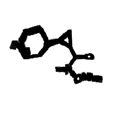 CON(C)C(=O)C1CC1c1ccncc1